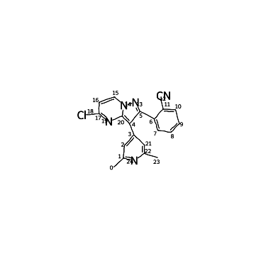 Cc1cc(-c2c(-c3ccccc3C#N)nn3ccc(Cl)nc23)cc(C)n1